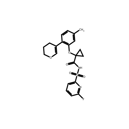 Cc1ccc(C2=COCCC2)c(OC2(C(=O)NS(=O)(=O)c3cccc(F)n3)CC2)c1